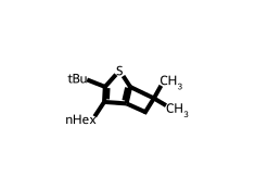 CCCCCCc1c(C(C)(C)C)sc2c1CC2(C)C